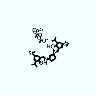 CC(=O)[O-].CC(=O)[O-].CC(C)c1cc([Si](C)(C)C)cc(C=Nc2cccc(N=Cc3cc([Si](C)(C)C)cc(C(C)C)c3O)c2)c1O.[Co+2]